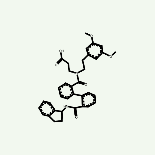 COc1cc(CCN(CCC(=O)O)C(=O)c2ccccc2-c2ccccc2C(=O)NC2CCc3ccccc32)cc(OC)c1